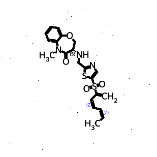 C=C(/C=C\C=C/C)S(=O)(=O)c1cnc(CN[C@H]2COc3ccccc3N(C)C2=O)s1